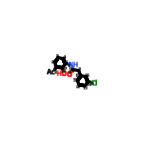 CC(=O)c1cccc(NC(=O)Cc2cccc(Cl)c2)c1O